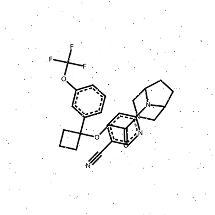 N#Cc1ccc(N2C3CCC2CN(C(=O)COC2(c4cccc(OC(F)(F)F)c4)CCC2)C3)nc1